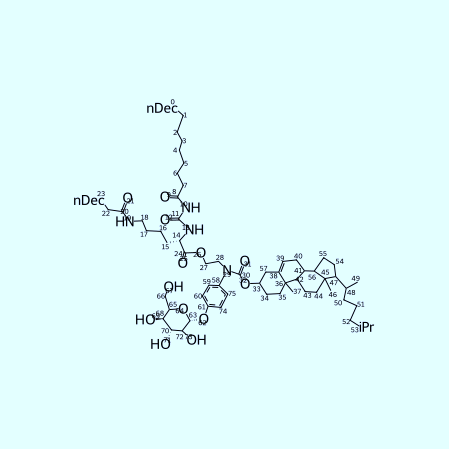 CCCCCCCCCCCCCCCCCC(=O)NC(=O)N[C@@H](CCCCNC(=O)CCCCCCCCCCC)C(=O)OCCN(C(=O)OC1CCC2(C)C(=CCC3C2CCC2(C)C(C(C)CCCC(C)C)CCC32)C1)c1ccc(O[C@H]2OC(CO)[C@H](O)[C@@H](O)C2O)cc1